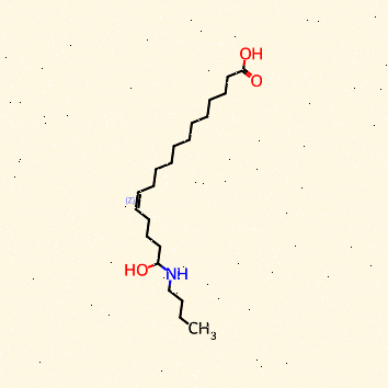 CCCCNC(O)CCC/C=C\CCCCCCCCCCC(=O)O